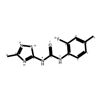 Cc1ccc(NC(=O)Nc2nc(C)ns2)c(F)c1